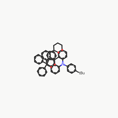 CC(C)(C)c1ccc(N(c2ccccc2-c2cccc3cccc(C4CCCCC4)c23)c2cccc3c2-c2ccccc2C3(c2ccccc2)c2ccccc2)cc1